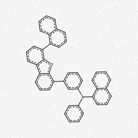 c1ccc(N(c2cccc(-c3cccc4c3oc3c(-c5cccc6ccccc56)cccc34)c2)c2cccc3ccccc23)cc1